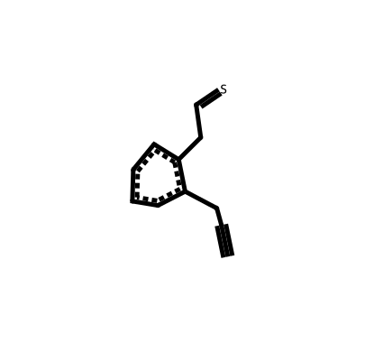 C#CCc1ccccc1CC=S